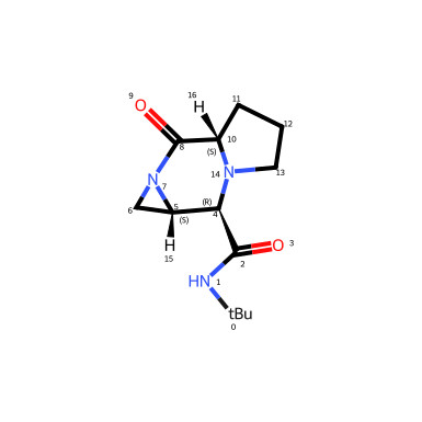 CC(C)(C)NC(=O)[C@H]1[C@@H]2CN2C(=O)[C@@H]2CCCN21